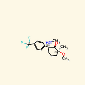 CN[C@@]1(c2ccc(C(F)(F)F)cc2)CCC[C@](C)(OC)C1=O